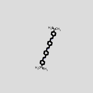 CN(C)c1ccc(/C=C/c2ccc(/C=C/c3ccc(/C=C/c4ccc(N(C)C)cc4)cc3)cc2)cc1